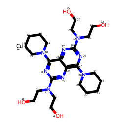 OCCN(CCO)c1nc(N2CCCCC2)c2nc(N(CCO)CCO)nc(N3CCCCC3)c2n1.[Cu]